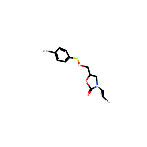 CC(=O)/C=C/N1CC(COSc2ccc([N+](=O)[O-])cc2)OC1=O